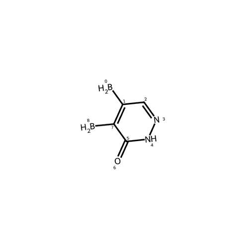 Bc1cn[nH]c(=O)c1B